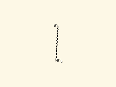 CC(C)CCCCCCCCCCCCCCCCCCCCCCN